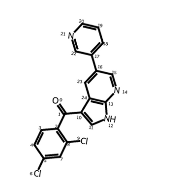 O=C(c1ccc(Cl)cc1Cl)c1c[nH]c2ncc(-c3cccnc3)cc12